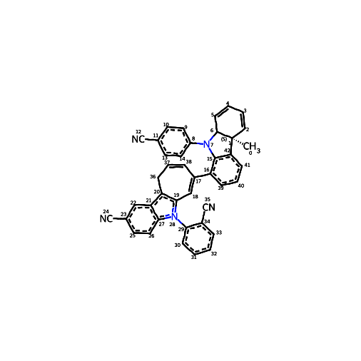 C[C@@]12C=CC=CC1N(c1ccc(C#N)cc1)c1c(C3=Cc4c(c5cc(C#N)ccc5n4-c4ccccc4C#N)CC=C3)cccc12